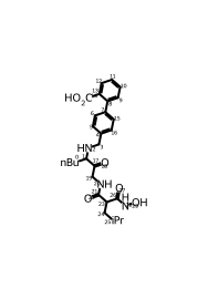 CCCCC(NCc1ccc(-c2ccccc2C(=O)O)cc1)C(=O)CNC(=O)C(CC(C)C)C(=O)NO